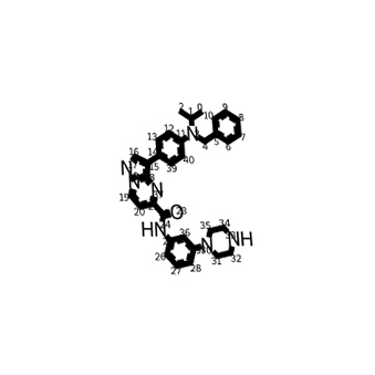 CC(C)N(Cc1ccccc1)c1ccc(-c2cnn3ccc(C(=O)Nc4cccc(N5CCNCC5)c4)nc23)cc1